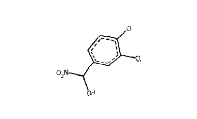 O=[N+]([O-])C(O)c1ccc(Cl)c(Cl)c1